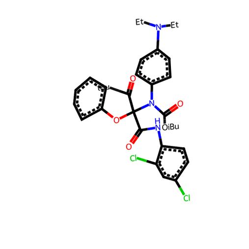 CCN(CC)c1ccc(N(C(=O)OCC(C)C)C(Oc2ccccc2)(C(=O)Nc2ccc(Cl)cc2Cl)C(=O)C(C)(C)C)cc1